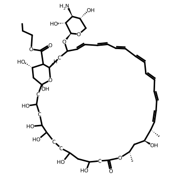 CCCOC(=O)C1[C@@H]2CC(O[C@@H]3OC[C@@H](O)[C@H](N)[C@H]3O)/C=C/C=C/C=C/C=C/C=C/C=C/C=C/[C@H](C)[C@@H](O)C[C@H](C)OC(=O)CC(O)CC(O)CCC(O)C(O)CC(O)CC(O)(C[C@@H]1O)O2